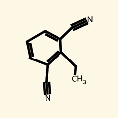 CCc1c(C#N)[c]ccc1C#N